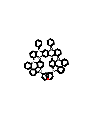 c1ccc(N2c3cc4c(cc3B3c5ccc6c(c5N(c5ccccc5)c5cccc2c53)c2ccccc2n6-c2ccccc2)B2c3ccc5c(c3N(c3ccccc3)c3cccc(c32)N4c2ccccc2)c2ccccc2n5-c2ccccc2)cc1